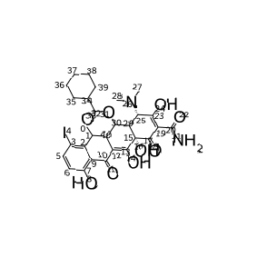 CC1c2c(I)ccc(O)c2C(=O)C2=C(O)[C@]3(O)C(=O)C(C(N)=O)=C(O)[C@@H](N(C)C)C3C(OC(=O)C3CCCCC3)C21